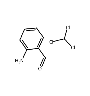 ClC(Cl)Cl.Nc1ccccc1C=O